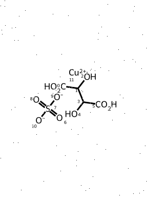 O=C(O)C(O)C(O)C(=O)O.O=S(=O)([O-])[O-].[Cu+2]